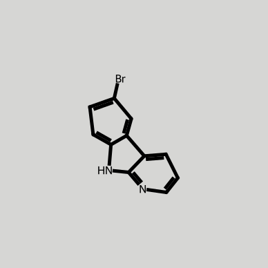 Brc1ccc2[nH]c3ncccc3c2c1